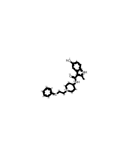 Cc1[nH]c2ccc(O)cc2c1C(=O)NC1CCN(CCSc2ccccc2)CC1